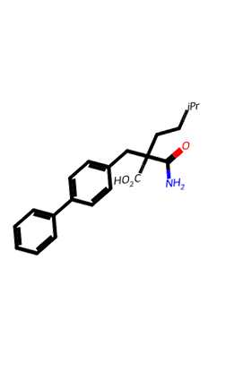 CC(C)CCC(Cc1ccc(-c2ccccc2)cc1)(C(N)=O)C(=O)O